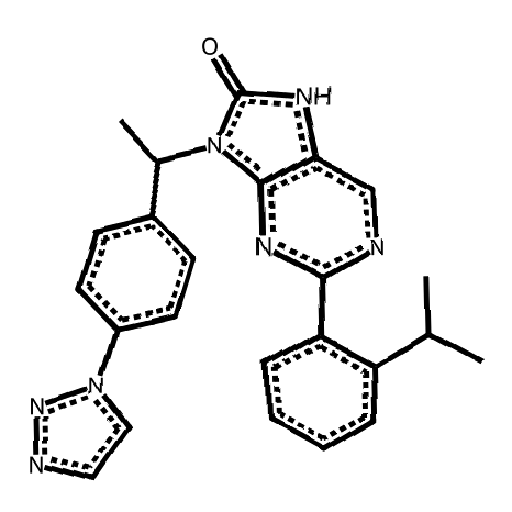 CC(C)c1ccccc1-c1ncc2[nH]c(=O)n(C(C)c3ccc(-n4ccnn4)cc3)c2n1